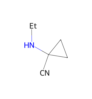 CCNC1(C#N)CC1